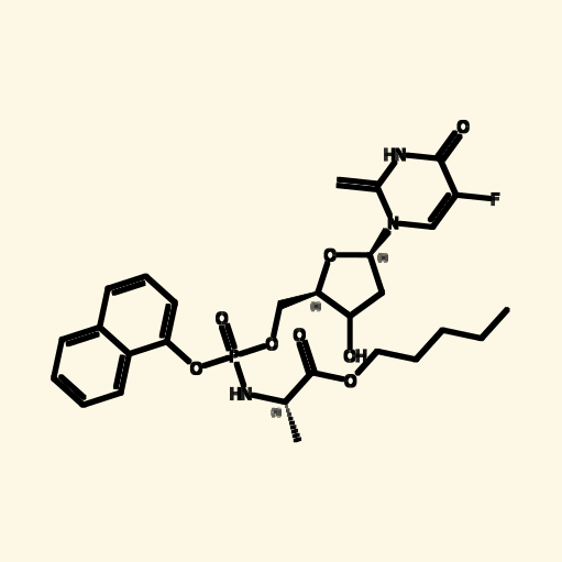 C=C1NC(=O)C(F)=CN1[C@H]1CC(O)[C@@H](COP(=O)(N[C@@H](C)C(=O)OCCCCC)Oc2cccc3ccccc23)O1